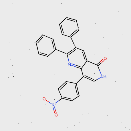 O=c1[nH]cc(-c2ccc([N+](=O)[O-])cc2)c2nc(-c3cc[c]cc3)c(-c3ccccc3)cc12